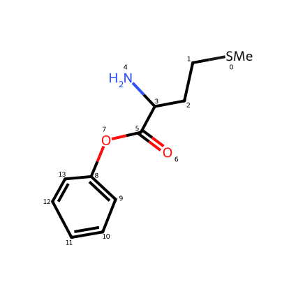 CSCCC(N)C(=O)Oc1ccccc1